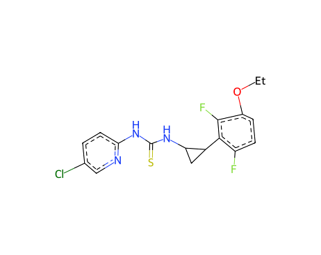 CCOc1ccc(F)c(C2CC2NC(=S)Nc2ccc(Cl)cn2)c1F